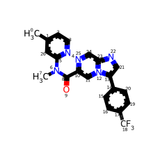 Cc1ccnc(N(C)C(=O)c2cn3c(-c4ccc(C(F)(F)F)cc4)cnc3cn2)c1